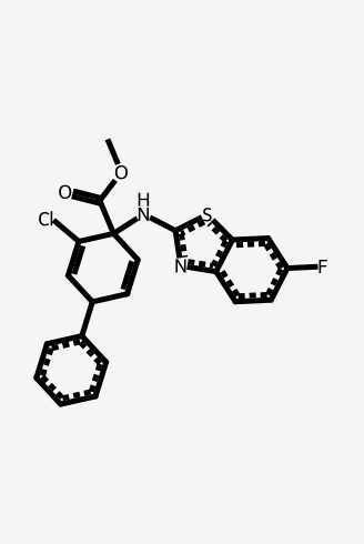 COC(=O)C1(Nc2nc3ccc(F)cc3s2)C=CC(c2ccccc2)C=C1Cl